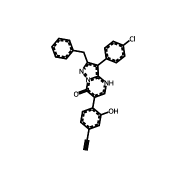 C#Cc1ccc(-c2c[nH]c3c(-c4ccc(Cl)cc4)c(Cc4ccccc4)nn3c2=O)c(O)c1